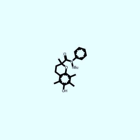 CCCCN(C(=O)C1(C)CCc2c(C)c(O)c(C)c(C)c2O1)c1ccccc1